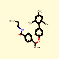 CCCCCCC(Oc1ccc(-c2c(C)cc(C)cc2C)cc1)c1ccc(C(=O)NCCC(=O)O)cc1